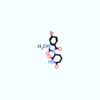 Cn1c(=O)n(C2CCCC(=O)NC2=O)c(=O)c2ccc(Br)cc21